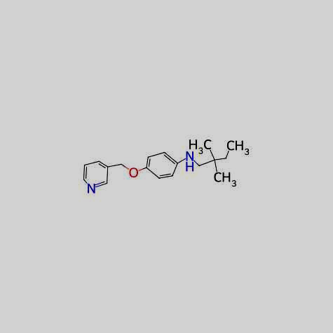 CCC(C)(C)CNc1ccc(OCc2cccnc2)cc1